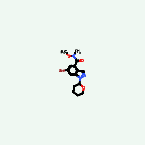 CON(C)C(=O)c1cc(Br)cc2c1cnn2C1CCCCO1